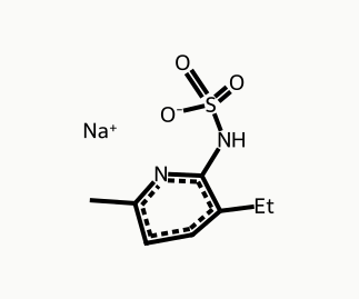 CCc1ccc(C)nc1NS(=O)(=O)[O-].[Na+]